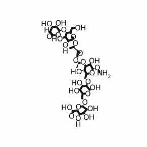 CC(O[C@@H]1OC(CO)[C@@H](O[C@H]2OC3O[C@@H]3C(O)C2O)C(O)C1O)[C@H]1OC1O[C@H](C)OC1[C@@H](O)C(COC2C(O)[C@H](O)C(CO[C@H]3OC(C(=O)O)[C@@H](O)C(O)C3O)O[C@@H]2O)O[C@@H](ON)[C@H]1O